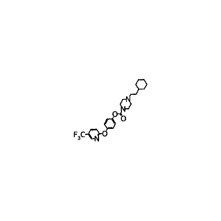 O=C(Oc1ccc(Oc2ccc(C(F)(F)F)cn2)cc1)N1CCN(CCC2CCCCC2)CC1